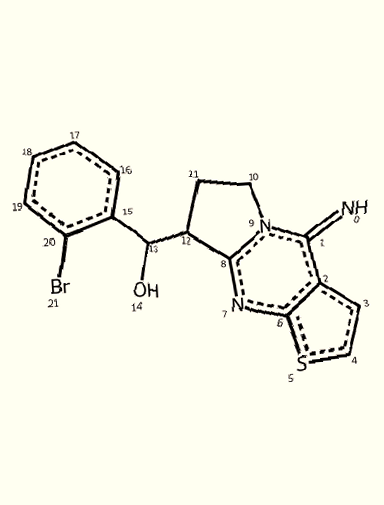 N=c1c2ccsc2nc2n1CCC2C(O)c1ccccc1Br